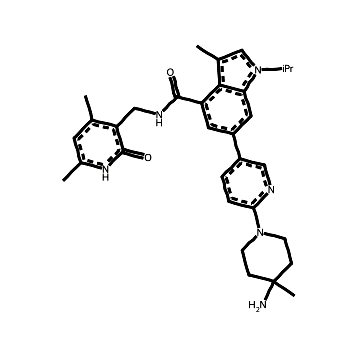 Cc1cc(C)c(CNC(=O)c2cc(-c3ccc(N4CCC(C)(N)CC4)nc3)cc3c2c(C)cn3C(C)C)c(=O)[nH]1